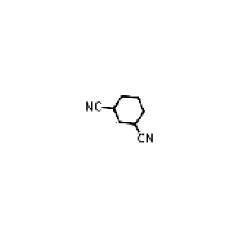 N#CC1[CH]C(C#N)CCC1